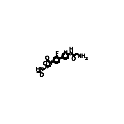 CC(=O)NC[C@H]1CN(c2ccc(-c3ccc(NC(=O)CN)nc3)c(F)c2)C(=O)O1